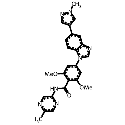 COc1cc(-n2cnc3cc(-c4cnn(C)c4)ccc32)cc(OC)c1C(=O)Nc1cnc(C)cn1